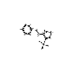 CC(C)(C)c1csnc1OCc1ccccc1